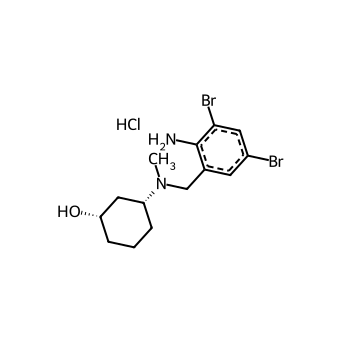 CN(Cc1cc(Br)cc(Br)c1N)[C@@H]1CCC[C@H](O)C1.Cl